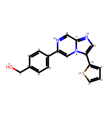 OCc1ccc(-c2cn3c(-c4cccs4)cnc3cn2)cc1